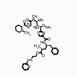 CCCO[C@H](C[C@H](C(C)C)N(C)C(=O)[C@@H](NC(=O)[C@H]1CCCCN1C)C(C)CC)c1nc(C(=O)N[C@@H](Cc2ccccc2)C[C@H](C)C(=O)OCCSSc2ccccn2)cs1